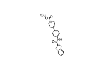 CC(C)(C)OC(=O)N1CC=C(c2ccc(NC(=O)N3Cc4ccccc4C3)cc2)CC1